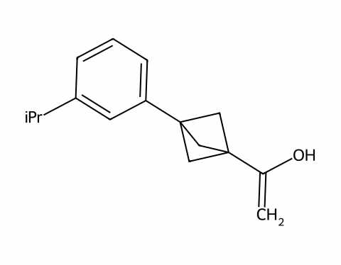 C=C(O)C12CC(c3cccc(C(C)C)c3)(C1)C2